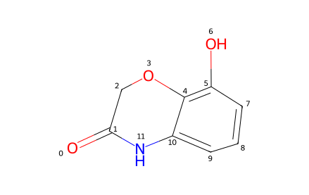 O=C1COc2c(O)cccc2N1